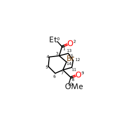 CCC(=O)C12CCCC(C(=O)OC)(CCC1)C2Br